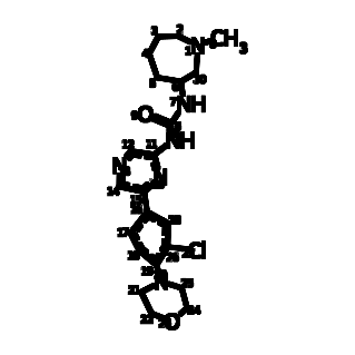 CN1CCCCC(NC(=O)Nc2cncc(-c3ccc(N4CCOCC4)c(Cl)c3)n2)C1